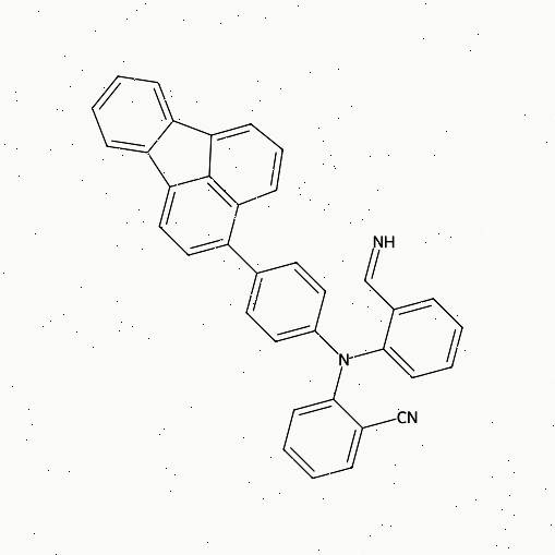 N#Cc1ccccc1N(c1ccc(-c2ccc3c4c(cccc24)-c2ccccc2-3)cc1)c1ccccc1C=N